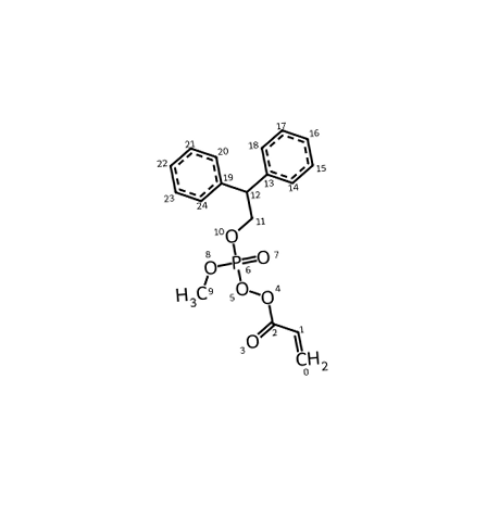 C=CC(=O)OOP(=O)(OC)OCC(c1ccccc1)c1ccccc1